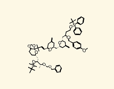 C=C1C[C@H](C[C@@H]2CC(=C)C[C@H](C=CC(C)(C)[C@]3(OC)O[C@H](C[C@@H](O[Si](C)(C)C(C)(C)C)[C@@H](C)OCOCc4ccccc4)CCC3=O)O2)O[C@H](CC(CCO[Si](c2ccccc2)(c2ccccc2)C(C)(C)C)OCc2ccc(OC)cc2)C1